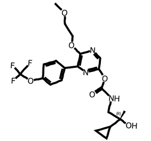 COCCOc1ncc(OC(=O)NC[C@](C)(O)C2CC2)nc1-c1ccc(OC(F)(F)F)cc1